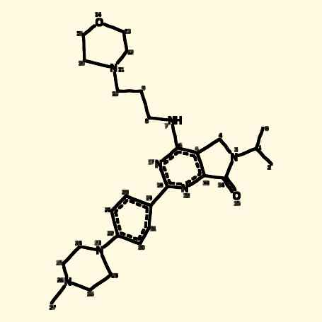 CC(C)N1Cc2c(NCCCN3CCOCC3)nc(-c3ccc(N4CCN(C)CC4)cc3)nc2C1=O